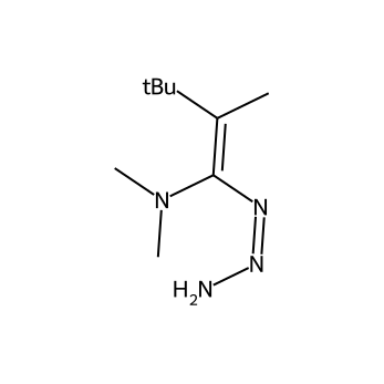 C/C(=C(\N=N/N)N(C)C)C(C)(C)C